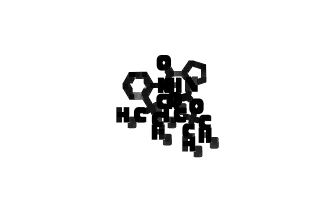 CC(C)(C)OC(=O)N1CCCC1C(=O)Nc1ccccc1C(C)(C)C